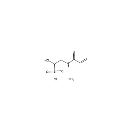 C=CC(=O)NCC(O)S(=O)(=O)O.N